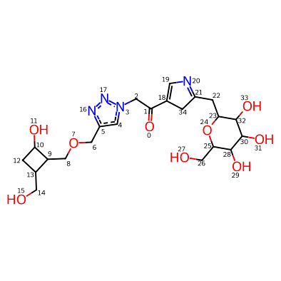 O=C(Cn1cc(COCC2C(O)CC2CO)nn1)C1=CN=C(CC2OC(CO)C(O)C(O)C2O)C1